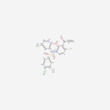 COC(=O)c1c(F)cccc1Oc1ncc(Cl)cc1NS(=O)(=O)c1ccc(Cl)c(Cl)c1